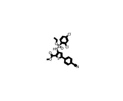 CCOP(=O)(Nc1cc(-c2ccc(C#N)cc2)sc1C(=O)OC)c1ccc(Cl)cc1Cl